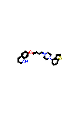 C1=Cc2ccc(OCCCCN3CCN(c4cccc5sccc45)CC3)cc2NC1